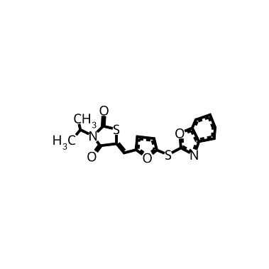 CC(C)N1C(=O)S/C(=C\c2ccc(Sc3nc4ccccc4o3)o2)C1=O